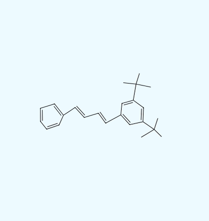 CC(C)(C)c1cc(C=CC=Cc2ccccc2)cc(C(C)(C)C)c1